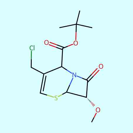 CO[C@H]1C(=O)N2C(C(=O)OC(C)(C)C)C(CCl)=CSC12